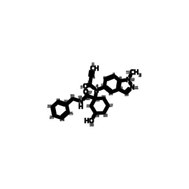 C#CC(=O)N(c1ccc2c(cnn2C)c1)C1(C(=O)NCc2ccccc2)CCCC(O)C1